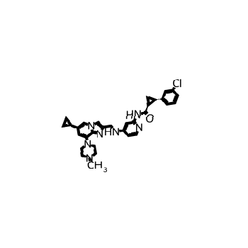 CN1CCN(c2cc(C3CC3)cn3cc(CNc4ccnc(NC(=O)[C@H]5C[C@@H]5c5cccc(Cl)c5)c4)nc23)CC1